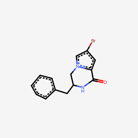 O=C1NC(Cc2ccccc2)Cn2cc(Br)cc21